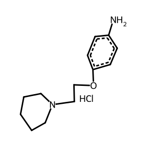 Cl.Nc1ccc(OCCN2CCCCC2)cc1